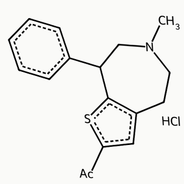 CC(=O)c1cc2c(s1)C(c1ccccc1)CN(C)CC2.Cl